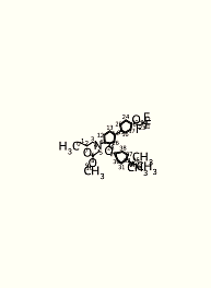 CCCCN(CC(=O)OCC)c1ccc(-c2ccc(OC(F)(F)F)cc2)cc1Oc1ccc(C(C)(C)C)cc1